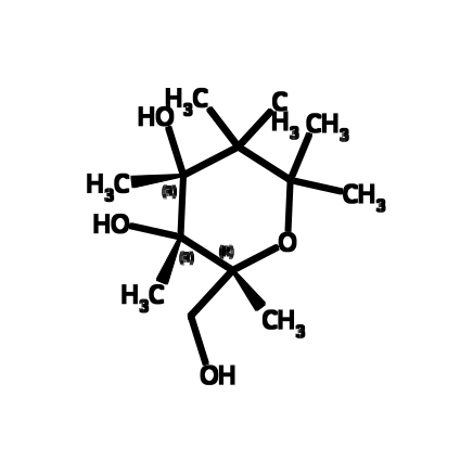 CC1(C)O[C@](C)(CO)[C@](C)(O)[C@](C)(O)C1(C)C